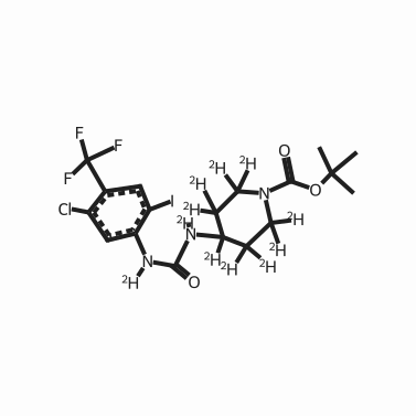 [2H]N(C(=O)N([2H])C1([2H])C([2H])([2H])C([2H])([2H])N(C(=O)OC(C)(C)C)C([2H])([2H])C1([2H])[2H])c1cc(Cl)c(C(F)(F)F)cc1I